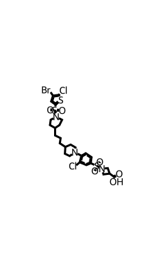 O=C(O)C1CN(S(=O)(=O)c2ccc(N3CCC(CCCC4CCN(S(=O)(=O)c5cc(Br)c(Cl)s5)CC4)CC3)c(Cl)c2)C1